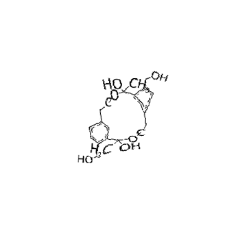 CC1(O)OCCc2ccc(CO)c(c2)C(C)(O)OCCc2ccc(CO)c1c2